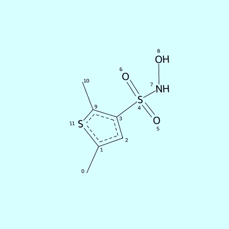 Cc1cc(S(=O)(=O)NO)c(C)s1